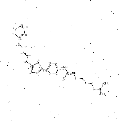 CN(C)CCCCCNC(=O)Nc1ccc(-c2nnc(CSCCOc3ccccc3)o2)cc1